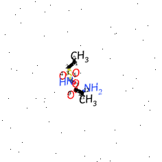 CCCS(=O)(=O)NOC(=O)C(C)N